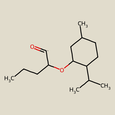 CCCC([C]=O)OC1CC(C)CCC1C(C)C